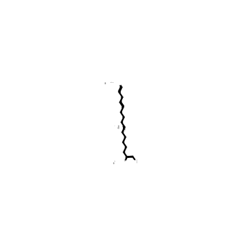 CCCCCC=CCC=CCCCCCCCCCC(CCCCCCCCC)CC(C)C.N